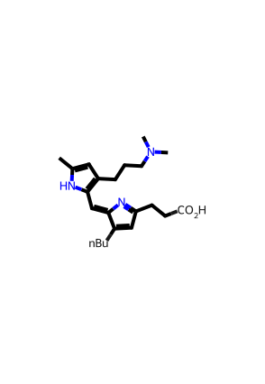 CCCCC1=CC(CCC(=O)O)=N/C1=C\c1[nH]c(C)cc1CCCN(C)C